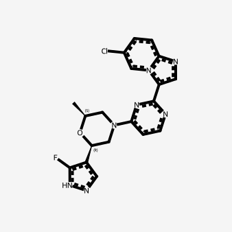 C[C@H]1CN(c2ccnc(-c3cnc4ccc(Cl)cn34)n2)C[C@@H](c2cn[nH]c2F)O1